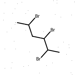 [CH2]C(Br)CC(Br)C(C)Br